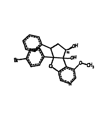 COc1cncc2c1C1(O)[C@H](O)CC(c3ccccc3)C1(c1ccc(Br)cc1)O2